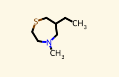 CCC1CSCCN(C)C1